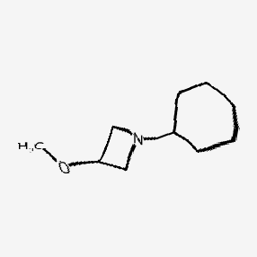 COC1CN(C2CCCCC2)C1